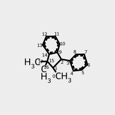 CC1C(c2ccccc2)c2ccccc2C1(C)C